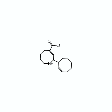 CCC(=O)C1=CC(C2C=CCCCCC2)NCCCC1